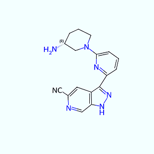 N#Cc1cc2c(-c3cccc(N4CCC[C@@H](N)C4)n3)n[nH]c2cn1